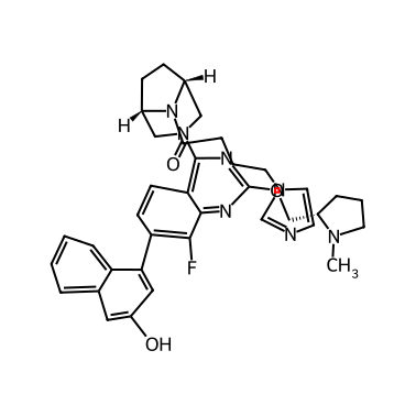 CN1CCC[C@H]1COc1nc(N2C[C@H]3CC[C@@H](C2)N3C(=O)CCCn2ccnc2)c2ccc(-c3cc(O)cc4ccccc34)c(F)c2n1